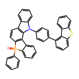 O=P1(c2ccccc2)c2ccccc2-c2c1ccc1c3ccccc3n(-c3ccc(-c4cccc5sc6ccccc6c45)cc3)c21